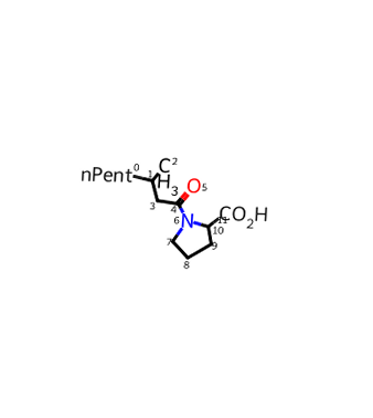 CCCCCC(C)CC(=O)N1CCCC1C(=O)O